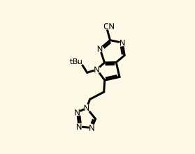 CC(C)(C)Cn1c(CCn2cnnn2)cc2cnc(C#N)nc21